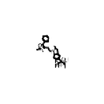 Cc1nc(CCN2c3ccc(C(O)(C(F)(F)F)C(F)(F)F)cc3CC2C)c(-c2ccccc2)o1